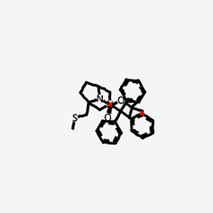 CSCC12CCC(CN(C(c3ccccc3)(c3ccccc3)c3ccccc3)C1)N2C(=O)OC(C)(C)C